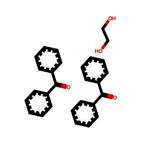 O=C(c1ccccc1)c1ccccc1.O=C(c1ccccc1)c1ccccc1.OCCO